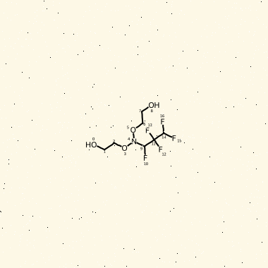 OCCON(OCCO)C(F)C(F)(F)C(F)F